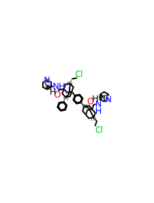 O=C(N[C@@H]1CN2CCC1CC2)C12CC3C[C@@](CCCl)(C1)C[C@](c1ccc(C45CC6(C(=O)N[C@@H]7CN8CCC7CC8)C[C@@](CCCl)(C4)C[C@](c4ccccc4)(C6)C5)cc1)(C3)C2